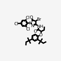 CCC(Oc1ccc(C(C)(C)CC)cc1C(C)(C)CC)C(=O)NC1=NN(c2c(Cl)cc(Cl)cc2Cl)C(=O)C1Br